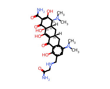 CN(C)c1cc(CNCC(N)=O)c(O)c2c1C[C@H]1C[C@H]3[C@H](N(C)C)C(O)=C(C(N)=O)C(=O)[C@@]3(O)C(O)=C1C2=O